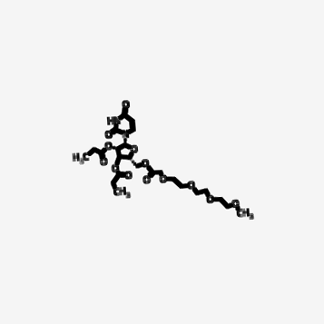 CCC(=O)OC1[C@@H](COC(=O)COCCOCCOCCOC)O[C@@H](n2ccc(=O)[nH]c2=O)[C@H]1OC(=O)CC